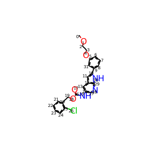 COCCOc1cccc(-c2cc3cc(NC(=O)OCc4ccccc4Cl)cnc3[nH]2)c1